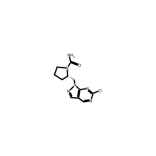 NC(=O)N1CCC[C@H]1Cn1ncc2cnc(Cl)nc21